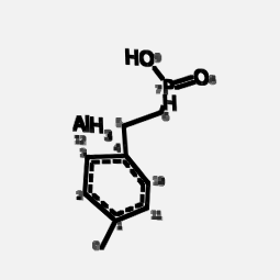 Cc1ccc(CC[PH](=O)O)cc1.[AlH3]